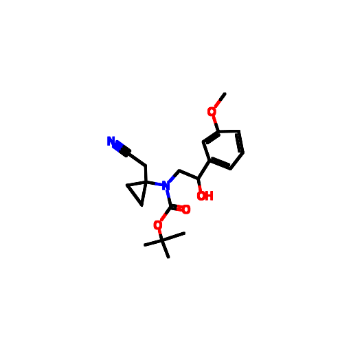 COc1cccc(C(O)CN(C(=O)OC(C)(C)C)C2(CC#N)CC2)c1